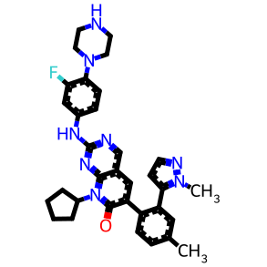 Cc1ccc(-c2cc3cnc(Nc4ccc(N5CCNCC5)c(F)c4)nc3n(C3CCCC3)c2=O)c(-c2ccnn2C)c1